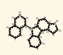 c1ccc2c(-n3c4ccccc4c4c5ccsc5ccc43)cncc2c1